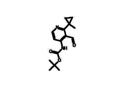 CC(C)(C)OC(=O)Nc1ccnc(C2(C)CC2)c1C=O